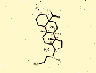 CCC[C@@H](C)[C@H]1CC[C@H]2[C@@H]3CCC4(C(=O)O)C[C@@H](O)CC[C@]4(C)[C@H]3CC[C@]12C